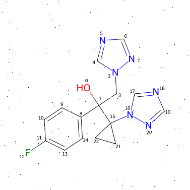 OC(Cn1cncn1)(c1ccc(F)cc1)C1(n2cncn2)CC1